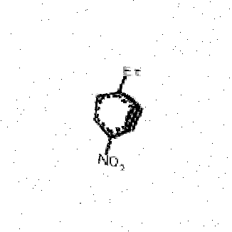 CCc1c#cc([N+](=O)[O-])cc1